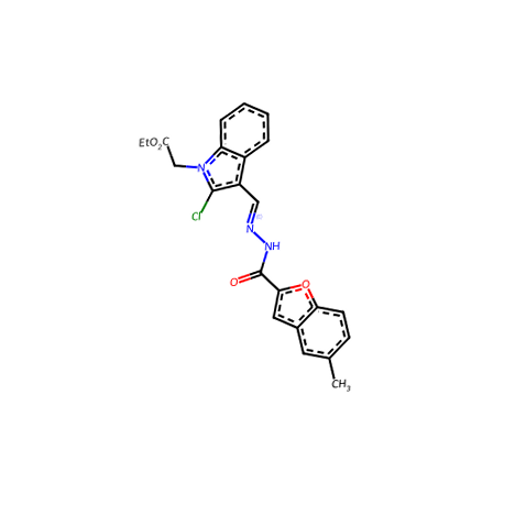 CCOC(=O)Cn1c(Cl)c(/C=N/NC(=O)c2cc3cc(C)ccc3o2)c2ccccc21